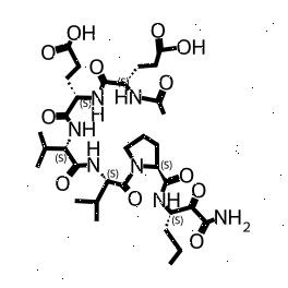 CCC[C@H](NC(=O)[C@@H]1CCCN1C(=O)[C@@H](NC(=O)[C@@H](NC(=O)[C@H](CCC(=O)O)NC(=O)[C@H](CCC(=O)O)NC(C)=O)C(C)C)C(C)C)C(=O)C(N)=O